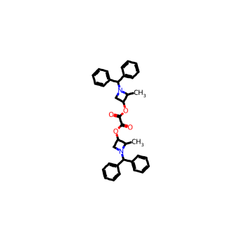 CC1C(OC(=O)C(=O)OC2CN(C(c3ccccc3)c3ccccc3)C2C)CN1C(c1ccccc1)c1ccccc1